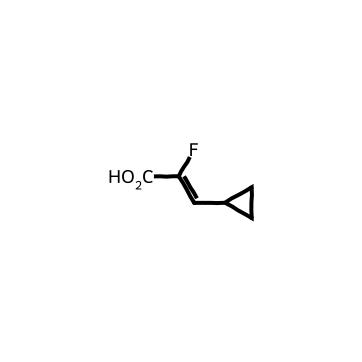 O=C(O)C(F)=CC1CC1